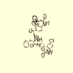 O=C1CS(=O)(=O)c2cc(C(=O)NC(Cc3ccccc3)C(=O)N3CCC4(C3)OC(=O)Nc3ccc(Cl)cc34)ccc2N1